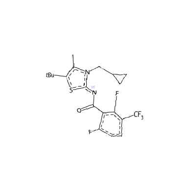 Cc1c(C(C)(C)C)s/c(=N\C(=O)c2c(F)ccc(C(F)(F)F)c2F)n1CC1CC1